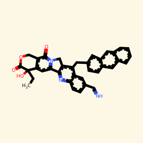 CCC1(O)C(=O)OCc2c1cc1n(c2=O)Cc2c-1nc1ccc(C=N)cc1c2Cc1ccc2cc3ccccc3cc2c1